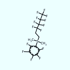 CS(C)(CCC(F)(F)C(F)(F)C(F)(F)C(F)(F)F)c1c(F)c(F)c(F)c(F)c1F